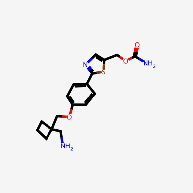 NCC1(COc2ccc(-c3ncc(COC(N)=O)s3)cc2)CCC1